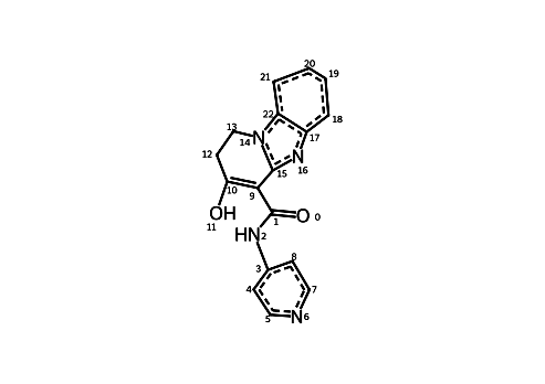 O=C(Nc1ccncc1)C1=C(O)CCn2c1nc1ccccc12